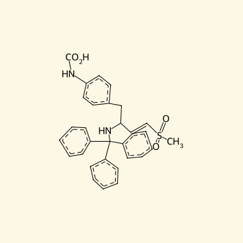 CS(=O)(=O)/C=C/C(Cc1ccc(NC(=O)O)cc1)NC(c1ccccc1)(c1ccccc1)c1ccccc1